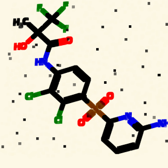 CC(O)(C(=O)Nc1ccc(S(=O)(=O)c2cccc(N)n2)c(Cl)c1Cl)C(F)(F)F